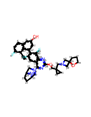 C#Cc1c(F)ccc2cc(O)cc(-c3c(F)cc4c(N5CC6CCC(C5)N6)nc(OCC5(CN6CC7(CCCO7)C6)CC5)nc4c3F)c12